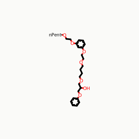 CCCCCOCCOc1cccc(OCCOCCCCOCC(O)COc2ccccc2)c1